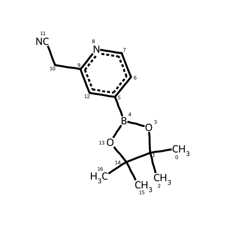 CC1(C)OB(c2ccnc(CC#N)c2)OC1(C)C